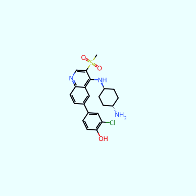 CS(=O)(=O)c1cnc2ccc(-c3ccc(O)c(Cl)c3)cc2c1N[C@H]1CC[C@H](N)CC1